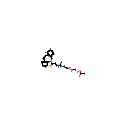 CC(=O)OOCCOCCNC(=O)CCC(=O)N1Cc2ccccc2C#Cc2ccccc21